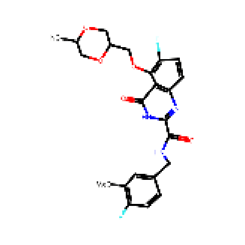 COc1cc(CNC(=O)c2nc3ccc(F)c(OCC4COC(C#N)CO4)c3c(=O)[nH]2)ccc1F